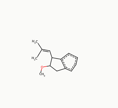 COC1Cc2ccccc2C1C=C(C)C